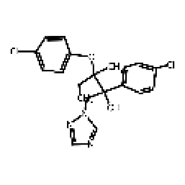 CCC(C)(Oc1ccc(Cl)cc1)C(O)(Cn1cncn1)c1ccc(Cl)cc1